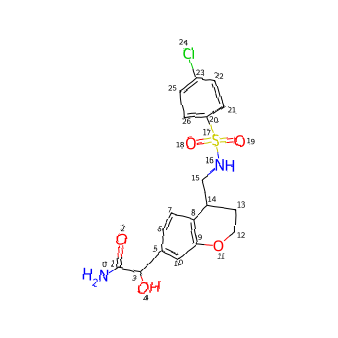 NC(=O)C(O)c1ccc2c(c1)OCCC2CNS(=O)(=O)c1ccc(Cl)cc1